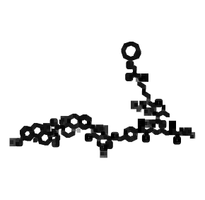 CC(C)[C@H](NC(=O)[C@H](N)CCCCNC(=O)COC1C#CCCCCC1)C(=O)N[C@@H](CCCNC(N)=O)C(=O)Nc1ccc(COC(=O)N[C@@H](CO)C(=O)Nc2ccc3c(c2)[C@@]2(C)CCC[C@](C)(C(=O)N(C=O)[C@@]4(C)CCC[C@]5(C)c6cc(O)ccc6CC[C@@H]45)[C@@H]2CC3)cc1